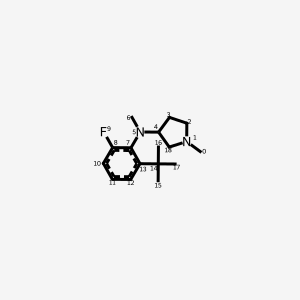 CN1CCC(N(C)c2c(F)cccc2C(C)(C)C)C1